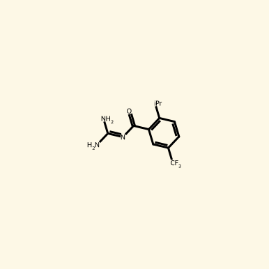 CC(C)c1ccc(C(F)(F)F)cc1C(=O)N=C(N)N